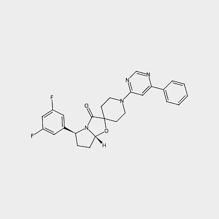 O=C1N2[C@@H](CC[C@H]2c2cc(F)cc(F)c2)OC12CCN(c1cc(-c3ccccc3)ncn1)CC2